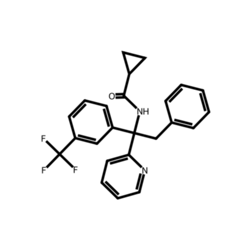 O=C(NC(Cc1ccccc1)(c1cccc(C(F)(F)F)c1)c1ccccn1)C1CC1